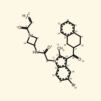 C=CC(=O)N1CC(NC(=O)Cn2c(C)c(C(=O)C3CCc4ccccc4C3)c3cc(Br)ccc32)C1